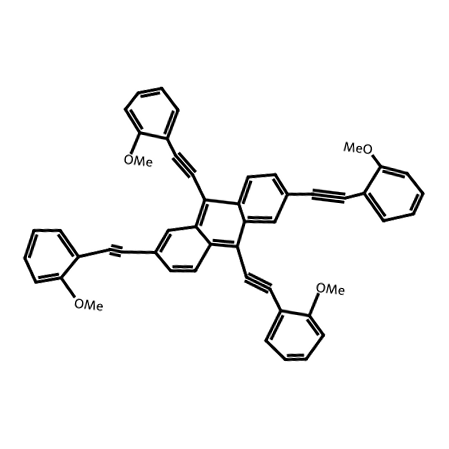 COc1ccccc1C#Cc1ccc2c(C#Cc3ccccc3OC)c3cc(C#Cc4ccccc4OC)ccc3c(C#Cc3ccccc3OC)c2c1